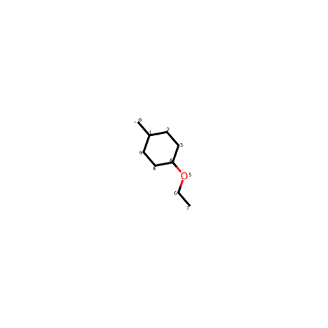 [CH2]C1CCC(OCC)CC1